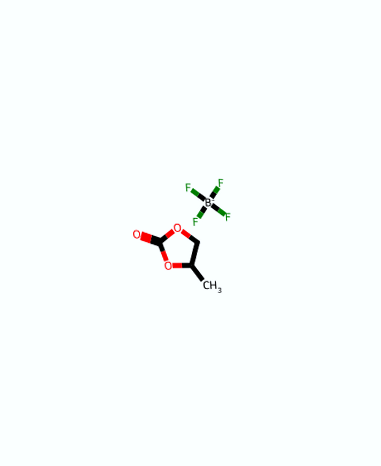 CC1COC(=O)O1.F[B-](F)(F)F